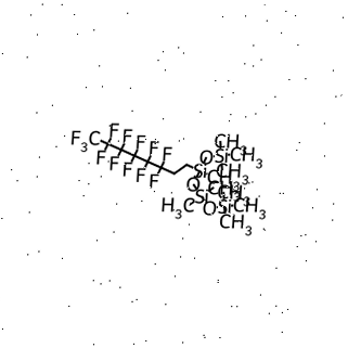 C[Si](C)(C)O[Si](C)(C)O[Si](C)(CCC(F)(F)C(F)(F)C(F)(F)C(F)(F)C(F)(F)C(F)(F)F)O[Si](C)(C)C